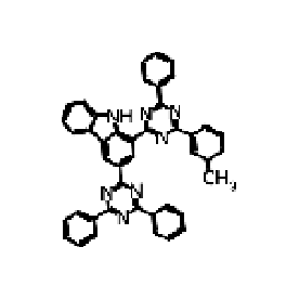 CC1C=C(c2nc(-c3ccccc3)nc(-c3cc(-c4nc(-c5ccccc5)nc(-c5ccccc5)n4)cc4c3[nH]c3ccccc34)n2)C=CC1